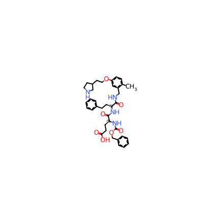 Cc1ccc(OCCC2CCNC2)cc1CNC(=O)[C@H](CCc1ccccc1)NC(=O)[C@H](CCC(=O)O)NC(=O)OCc1ccccc1